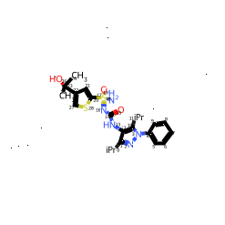 CC(C)c1nn(-c2ccccc2)c(C(C)C)c1NC(=O)N=S(N)(=O)c1cc(C(C)(C)O)cs1